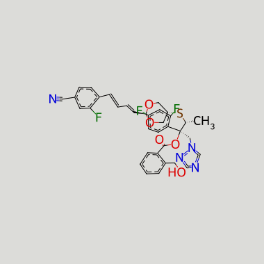 C[C@@H](S[C@H]1CO[C@H](C=CC=Cc2ccc(C#N)cc2F)OC1)[C@@](Cn1cncn1)(OC(=O)c1ccccc1CO)c1ccc(F)cc1F